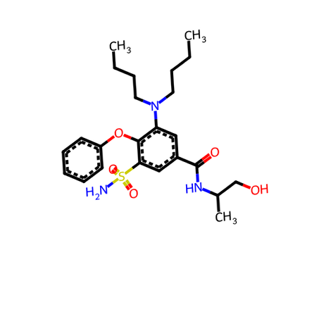 CCCCN(CCCC)c1cc(C(=O)NC(C)CO)cc(S(N)(=O)=O)c1Oc1ccccc1